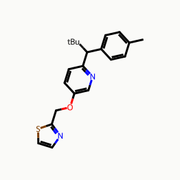 Cc1ccc(C(c2ccc(OCc3nccs3)cn2)C(C)(C)C)cc1